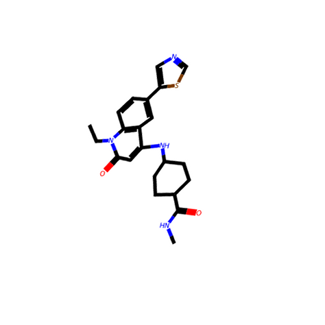 CCn1c(=O)cc(NC2CCC(C(=O)NC)CC2)c2cc(-c3cncs3)ccc21